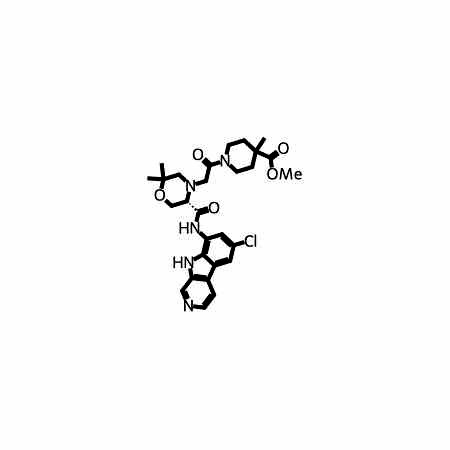 COC(=O)C1(C)CCN(C(=O)CN2CC(C)(C)OC[C@H]2C(=O)Nc2cc(Cl)cc3c2[nH]c2cnccc23)CC1